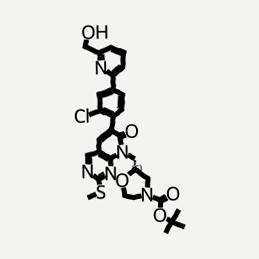 CSc1ncc2cc(-c3ccc(-c4cccc(CO)n4)cc3Cl)c(=O)n(C[C@@H]3CN(C(=O)OC(C)(C)C)CCO3)c2n1